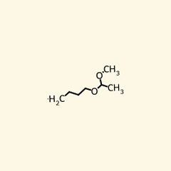 [CH2]CCCOC(C)OC